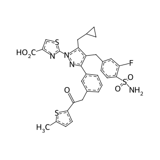 Cc1ccc(C(=O)Cc2cccc(-c3nn(-c4nc(C(=O)O)cs4)c(CC4CC4)c3Cc3ccc(S(N)(=O)=O)c(F)c3)c2)s1